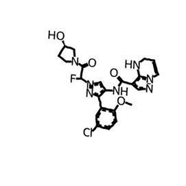 COc1ccc(Cl)cc1-c1nn(C(F)C(=O)N2CC[C@@H](O)C2)cc1NC(=O)c1cnn2c1NCC=C2